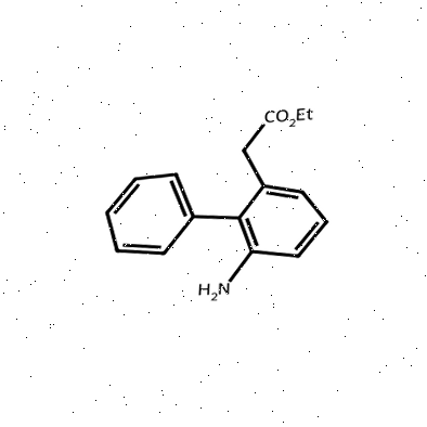 CCOC(=O)Cc1cccc(N)c1-c1ccccc1